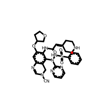 N#CN1C=Nc2cc(OC3CCOC3)c(NC(=O)C=C3CCNCC3)c(N(NS(=O)(=O)c3ccccc3)c3ncccn3)c2C1